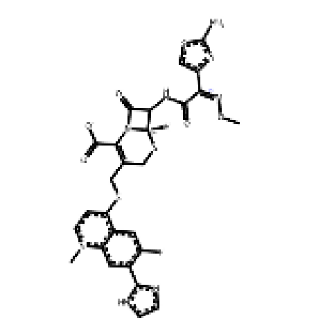 CO/N=C(\C(=O)NC1C(=O)N2C(C(=O)[O-])=C(CSc3cc[n+](C)c4cc(-c5ncc[nH]5)c(F)cc34)CS[C@@H]12)c1csc(N)n1